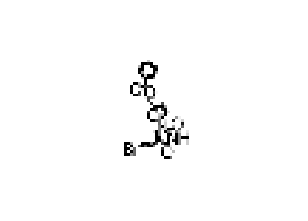 O=C(OC[C@@H]1C=C[C@H](n2cc(C=CBr)c(=O)[nH]c2=O)O1)c1ccccc1